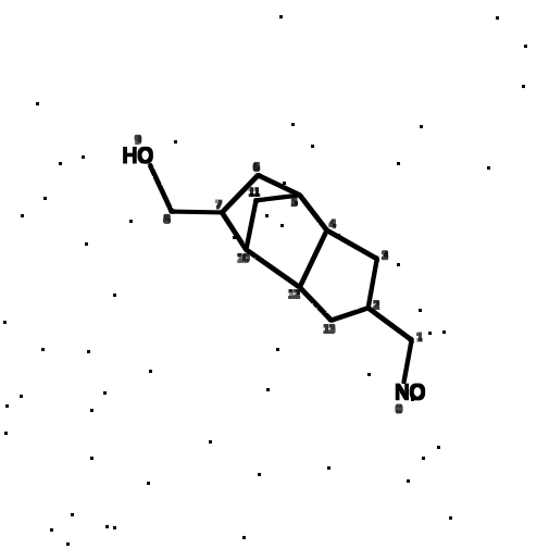 O=NCC1CC2C3CC(CO)C(C3)C2C1